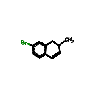 CC1C=Cc2ccc(Br)cc2C1